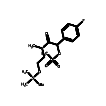 CN(CCO[Si](C)(C)C(C)(C)C)C(=O)C(OS(C)(=O)=O)c1ccc(F)cc1